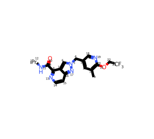 Cc1cc(Cn2cc3c(C(=O)NC(C)C)nccc3n2)cnc1OCC(F)(F)F